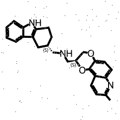 Cc1ccc2c3c(ccc2n1)OC[C@H](CNC[C@H]1CCc2[nH]c4ccccc4c2C1)O3